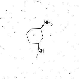 CN[C@H]1CCC[C@@H](N)C1